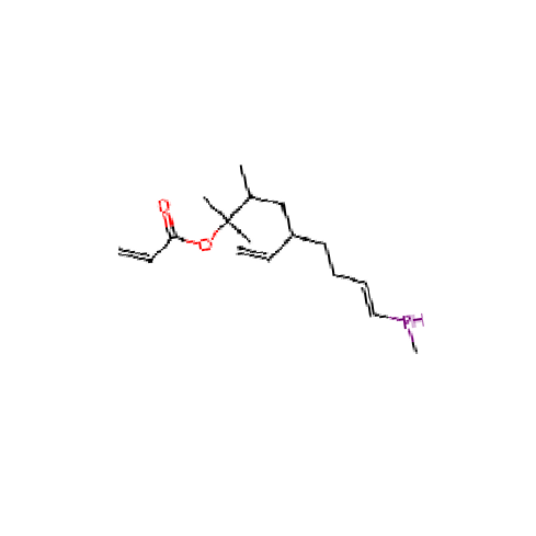 C=CC(=O)OC(C)(C)C(C)CC(C=C)CC/C=C/PC